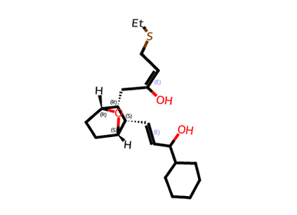 CCSC/C=C(/O)C[C@@H]1[C@H](/C=C/C(O)C2CCCCC2)[C@@H]2CC[C@H]1O2